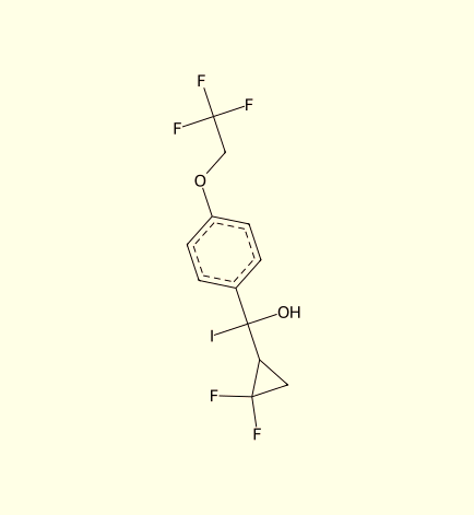 OC(I)(c1ccc(OCC(F)(F)F)cc1)C1CC1(F)F